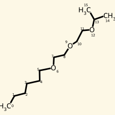 CCCCCCOCCOCCOC(C)C